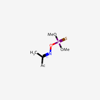 COP(=S)(OC)O/N=C(\C)C(C)=O